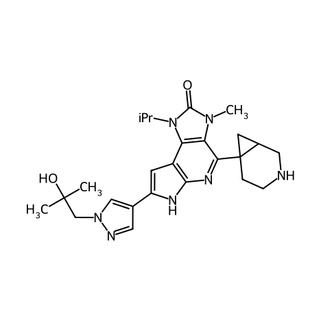 CC(C)n1c(=O)n(C)c2c(C34CCNCC3C4)nc3[nH]c(-c4cnn(CC(C)(C)O)c4)cc3c21